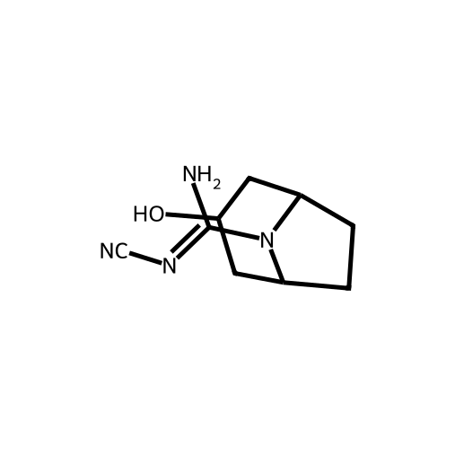 N#CN=C(N)N1C2CCC1CC(O)C2